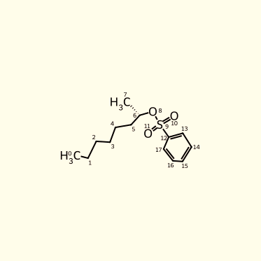 CCCCCC[C@H](C)OS(=O)(=O)c1ccccc1